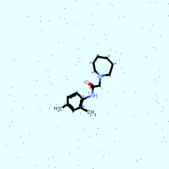 Cc1ccc(NC(=O)CN2CCCCCC2)c(C)c1